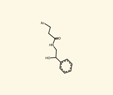 CC(=O)CCC(=O)NCC(O)c1ccccc1